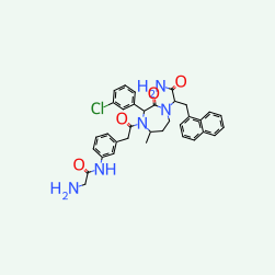 CC1CCN(C(Cc2cccc3ccccc23)C(N)=O)C(=O)C(c2cccc(Cl)c2)N1C(=O)Cc1cccc(NC(=O)CN)c1